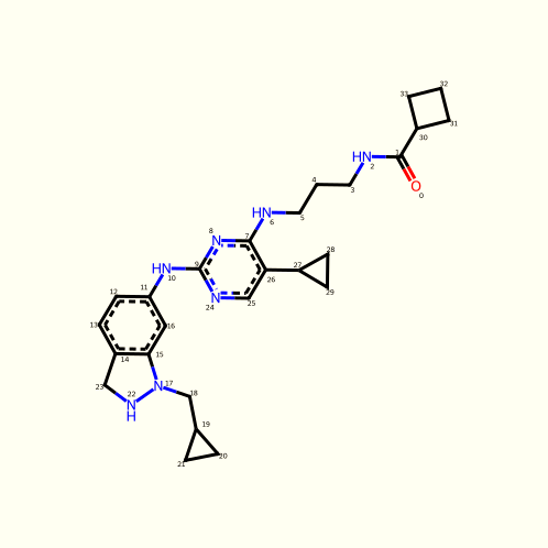 O=C(NCCCNc1nc(Nc2ccc3c(c2)N(CC2CC2)NC3)ncc1C1CC1)C1CCC1